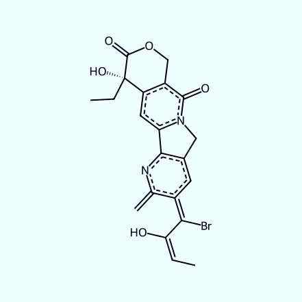 C=c1nc2c(c/c1=C(Br)/C(O)=C\C)Cn1c-2cc2c(c1=O)COC(=O)[C@]2(O)CC